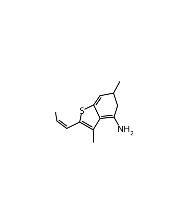 C/C=C\c1sc2c(c1C)=C(N)CC(C)C=2